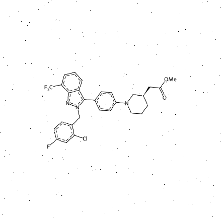 COC(=O)C[C@H]1CCCN(c2ccc(-c3c4cccc(C(F)(F)F)c4nn3Cc3ccc(F)cc3Cl)cc2)C1